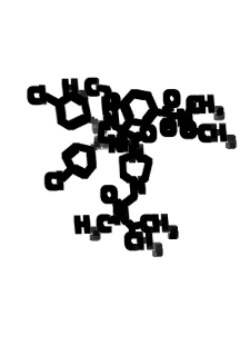 CCOc1ccc(S(=O)(=O)N(C)OC)cc1C1(C(=O)N2CCN(CC(=O)N(C)C(C)C)CC2)N[C@H](c2ccc(Cl)cc2)[C@H](c2ccc(Cl)cc2)N1